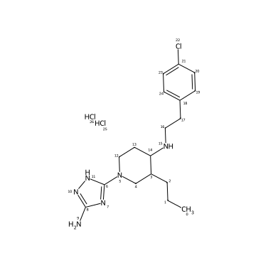 CCCC1CN(c2nc(N)n[nH]2)CCC1NCCc1ccc(Cl)cc1.Cl.Cl